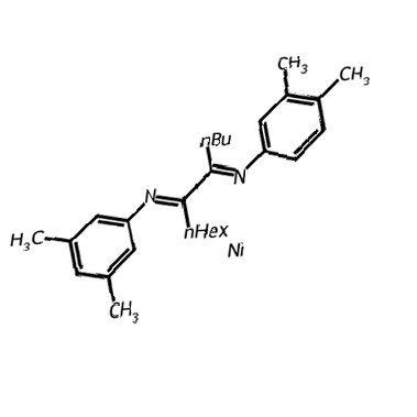 CCCCCCC(=N\c1cc(C)cc(C)c1)/C(CCCC)=N/c1ccc(C)c(C)c1.[Ni]